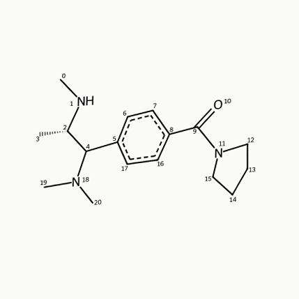 CN[C@@H](C)C(c1ccc(C(=O)N2CCCC2)cc1)N(C)C